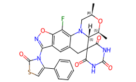 C[C@@H]1CN2c3c(cc4c(-n5c(-c6ccccc6)csc5=O)noc4c3F)CC3(C(=O)NC(=O)NC3=O)[C@H]2[C@H](C)O1